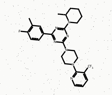 Cc1cc(-c2nc(N3CCN(c4ncccc4C(F)(F)F)CC3)nc(N3CCCCC3C)n2)ccc1F